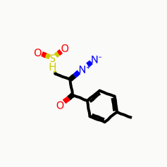 Cc1ccc(C(=O)C(C[SH](=O)=O)=[N+]=[N-])cc1